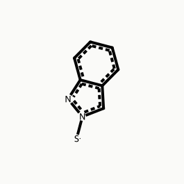 [S]n1cc2ccccc2n1